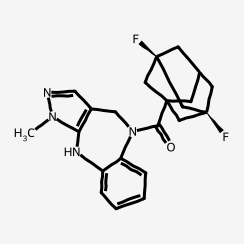 Cn1ncc2c1Nc1ccccc1N(C(=O)C13CC4C[C@@](F)(C1)C[C@](F)(C4)C3)C2